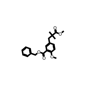 COC(=O)C(C)(C)Cc1ccc(OC)c(C(=O)OCc2ccccc2)c1